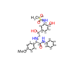 COc1ccc(C(NCC(O)c2ccc(O)c(NS(C)(=O)=O)c2)C(=O)Nc2ccccc2)cc1